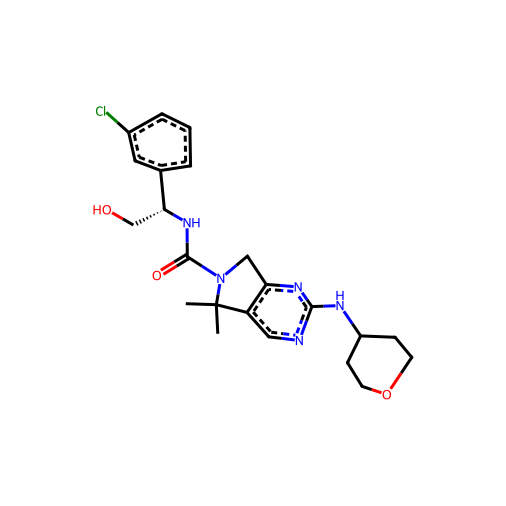 CC1(C)c2cnc(NC3CCOCC3)nc2CN1C(=O)N[C@H](CO)c1cccc(Cl)c1